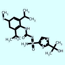 CSC1C=C(C(C)C)C(NC(=O)N=S(N)(=O)c2cnc(C(C)(C)O)s2)=C(C(C)C)C1